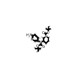 CC(C)(C)OC(=O)N1CCCC(N(C(=O)OC(C)(C)C)c2ccc(N)nc2)C1